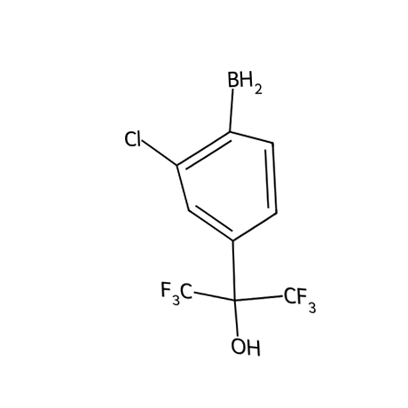 Bc1ccc(C(O)(C(F)(F)F)C(F)(F)F)cc1Cl